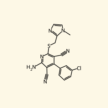 Cn1ccnc1CSc1nc(N)c(C#N)c(-c2cccc(Cl)c2)c1C#N